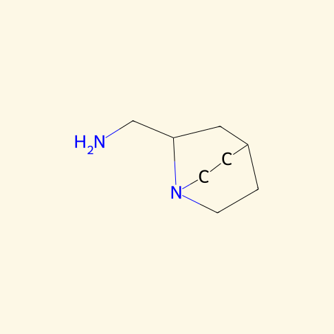 NCC1CC2CCN1CC2